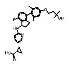 Cc1cc(OCCC(C)(C)O)cc(C)c1-c1ccc(F)c2c1CC[C@H]2Nc1ccc([C@@H]2C[C@H]2C(=O)O)cn1